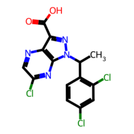 CC(c1ccc(Cl)cc1Cl)n1nc(C(=O)O)c2ncc(Cl)nc21